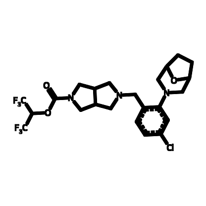 O=C(OC(C(F)(F)F)C(F)(F)F)N1CC2CN(Cc3ccc(Cl)cc3N3CC4CCC(C3)O4)CC2C1